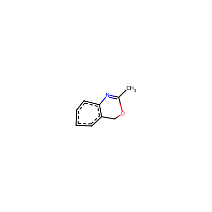 CC1=Nc2ccccc2CO1